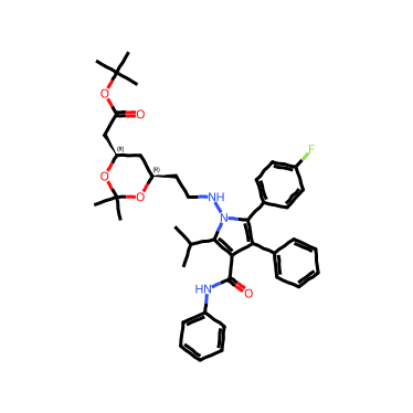 CC(C)c1c(C(=O)Nc2ccccc2)c(-c2ccccc2)c(-c2ccc(F)cc2)n1NCC[C@@H]1C[C@H](CC(=O)OC(C)(C)C)OC(C)(C)O1